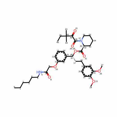 CCCCCCNC(=O)COc1cccc([C@@H](CCc2ccc(OC)c(OC)c2)OC(=O)[C@@H]2CCCCN2C(=O)C(=O)C(C)(C)CC)c1